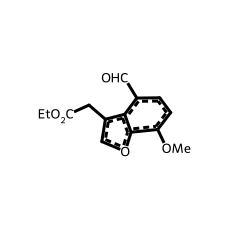 CCOC(=O)Cc1coc2c(OC)ccc(C=O)c12